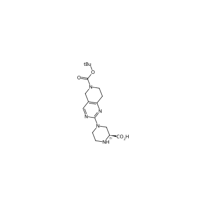 CC(C)(C)OC(=O)N1CCc2nc(N3CCN[C@H](C(=O)O)C3)ncc2C1